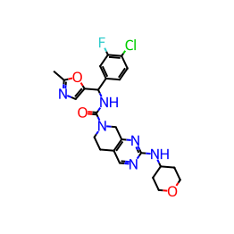 Cc1ncc(C(NC(=O)N2CCc3cnc(NC4CCOCC4)nc3C2)c2ccc(Cl)c(F)c2)o1